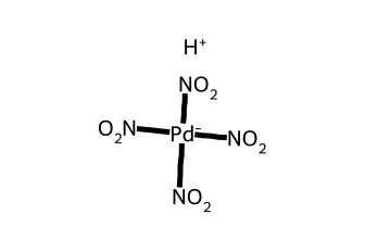 O=[N+]([O-])[Pd-]([N+](=O)[O-])([N+](=O)[O-])[N+](=O)[O-].[H+]